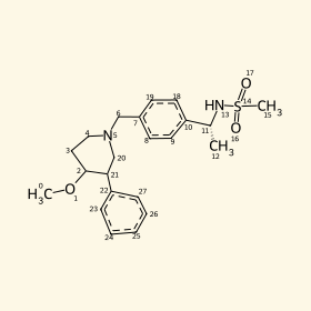 COC1CCN(Cc2ccc([C@@H](C)NS(C)(=O)=O)cc2)CC1c1ccccc1